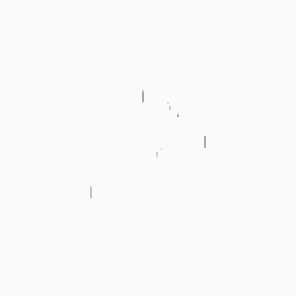 CC#CC/C=C\C(=N/C)C(=O)O